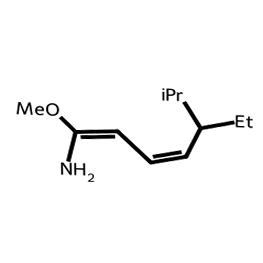 CCC(/C=C\C=C(/N)OC)C(C)C